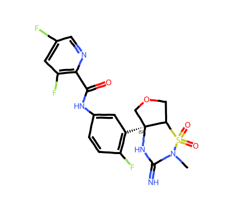 CN1C(=N)N[C@@]2(c3cc(NC(=O)c4ncc(F)cc4F)ccc3F)COCC2S1(=O)=O